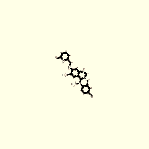 Bc1cc2c(N(N)c3ccc(Br)cc3F)ncnc2cc1OCc1cccc(C)n1